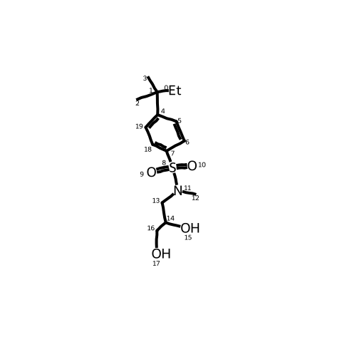 CCC(C)(C)c1ccc(S(=O)(=O)N(C)CC(O)CO)cc1